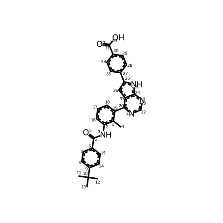 Cc1c(NC(=O)c2ccc(C(C)(C)C)cc2)cccc1-c1ncnc2[nH]c(-c3ccc(C(=O)O)cc3)cc12